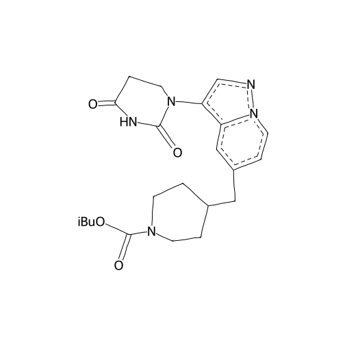 CC(C)COC(=O)N1CCC(Cc2ccn3ncc(N4CCC(=O)NC4=O)c3c2)CC1